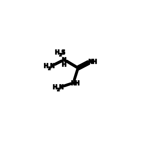 N=C(NN)NN.S